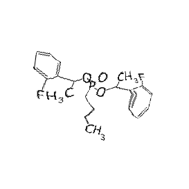 CCCCP(=O)(OC(C)c1ccccc1F)OC(C)c1ccccc1F